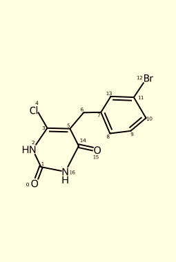 O=c1[nH]c(Cl)c(Cc2cccc(Br)c2)c(=O)[nH]1